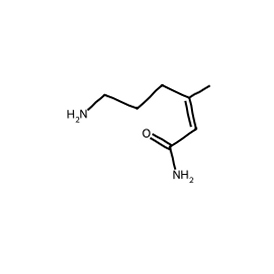 CC(=CC(N)=O)CCCN